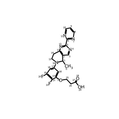 CC1c2cnc(-c3ncccn3)nc2CCN1c1cc(F)c(F)c(OCCC(=O)O)c1